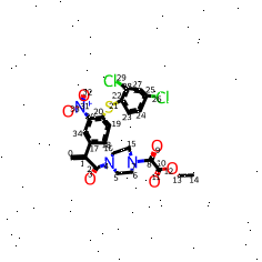 C=C(C(=O)N1CCN(C(=O)C(=O)OCC)CC1)c1ccc(Sc2ccc(Cl)cc2Cl)c([N+](=O)[O-])c1